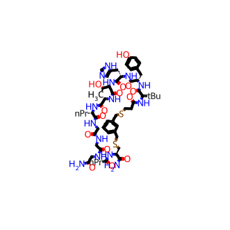 CCCC(=O)N[C@@H](CSCc1cccc(CSCCC(=O)NC(C(=O)N[C@@H](Cc2ccc(O)cc2)C(=O)N[C@@H](Cc2cnc[nH]2)C(=O)N[C@H](C(=O)NCC(=O)N[C@@H](CCC)C(=O)NCC(=O)NCC(=O)NCC(N)=O)[C@@H](C)O)C(C)(C)C)c1)C(N)=O